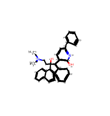 CN(C)CCC(O)(C1=C=C=Cc2ccccc21)C(c1ccccc1)c1ccc(-c2ccccc2)nc1O